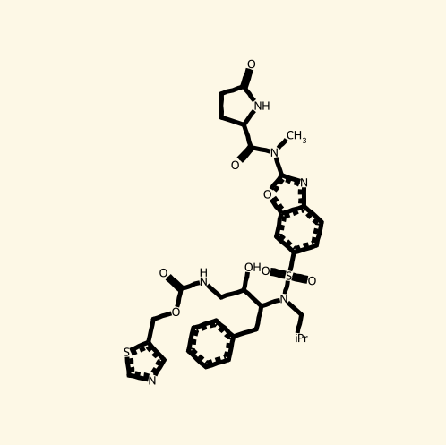 CC(C)CN(C(Cc1ccccc1)C(O)CNC(=O)OCc1cncs1)S(=O)(=O)c1ccc2nc(N(C)C(=O)C3CCC(=O)N3)oc2c1